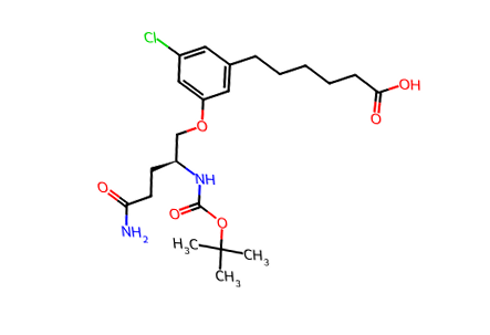 CC(C)(C)OC(=O)N[C@@H](CCC(N)=O)COc1cc(Cl)cc(CCCCCC(=O)O)c1